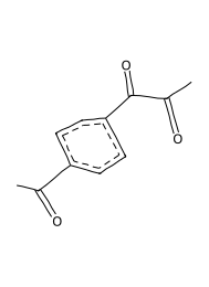 CC(=O)C(=O)c1ccc(C(C)=O)cc1